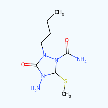 CCCCN1C(=O)N(N)C(SC)N1C(N)=O